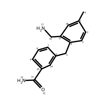 Cc1ccc(Cc2cccc(C(N)=O)c2)c(CN)c1